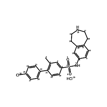 Cc1cc(S(=O)(=O)Nc2ccc3c(c2)CCNCC3)ccc1-c1ccc(Cl)cc1.Cl